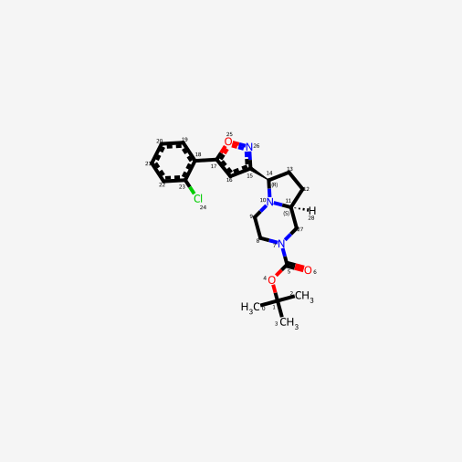 CC(C)(C)OC(=O)N1CCN2[C@@H](CC[C@@H]2c2cc(-c3ccccc3Cl)on2)C1